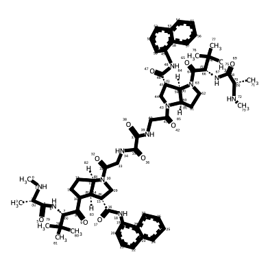 CN[C@@H](C)C(=O)N[C@H](C(=O)C1CC[C@@H]2[C@H]1[C@@H](C(=O)Nc1cccc3ccccc13)CN2C(=O)CNC(=O)C(=O)NCC(=O)N1C[C@H](C(=O)Nc2cccc3ccccc23)[C@@H]2[C@H]1CCN2C(=O)[C@@H](NC(=O)[C@H](C)NC)C(C)(C)C)C(C)(C)C